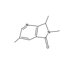 Cc1cnc2c(c1)C(=O)N(C)C2C